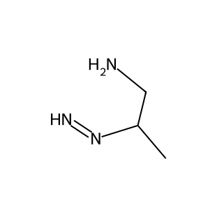 CC(CN)N=N